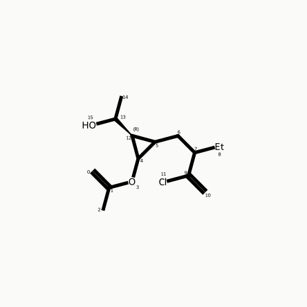 C=C(C)OC1C(CC(CC)C(=C)Cl)[C@@H]1C(C)O